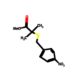 COC(=O)C(C)(C)SCc1ccc([N+](=O)[O-])cc1